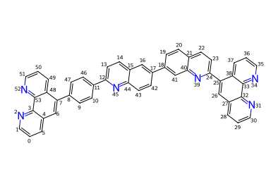 c1cnc2c(c1)cc(-c1ccc(-c3ccc4cc(-c5ccc6ccc(-c7cc8cccnc8c8ncccc78)nc6c5)ccc4n3)cc1)c1cccnc12